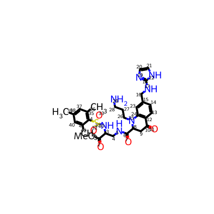 COC(=O)C(CNC(=O)C1CC(=O)c2ccc(CNc3ncc[nH]3)cc2N1CCCN)NS(=O)(=O)c1c(C)cc(C)cc1C